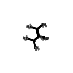 CC(C)=CC(C)C.Cl.N